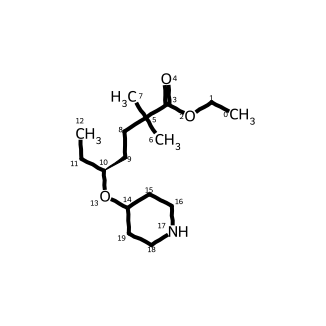 CCOC(=O)C(C)(C)CC[C@H](CC)OC1CCNCC1